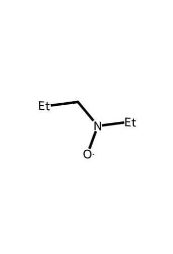 CCCN([O])CC